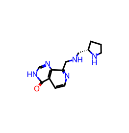 O=c1[nH]cnc2c(CNC[C@@H]3CCCN3)nccc12